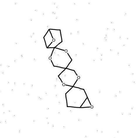 C1CC2(OCC3(COC4(CCC5OC5C4)OC3)CO2)C2CC1O2